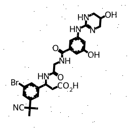 CC(C)(C#N)c1cc(Br)cc(C(CC(=O)O)NC(=O)CNC(=O)c2cc(O)cc(NC3=NCC(O)CN3)c2)c1